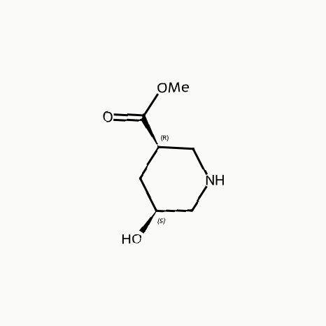 COC(=O)[C@H]1CNC[C@@H](O)C1